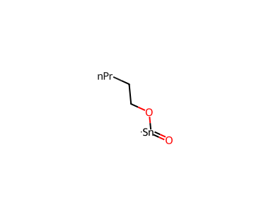 CCCCC[O][Sn]=[O]